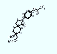 COCC1(O)CCC2(CCN(c3ccc(O[C@H](C)C(F)(F)F)nc3)C2=O)CC1